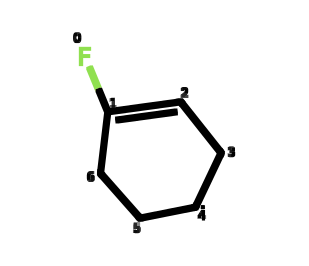 FC1=CC[CH]CC1